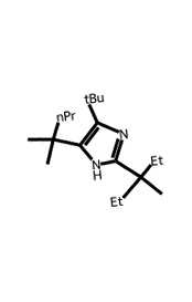 CCCC(C)(C)c1[nH]c(C(C)(CC)CC)nc1C(C)(C)C